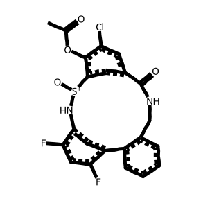 CC(=O)Oc1c(Cl)cc2cc1[S+]([O-])Nc1cc(c(F)cc1F)-c1ccccc1CNC2=O